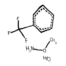 CON.Cl.FC(F)(F)c1ccccc1